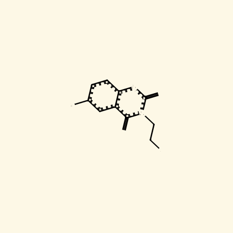 O=c1[nH]c2ccc(Br)cc2c(=O)n1CCCl